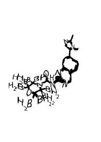 BC1(B)OC(B)(B)C(B)(B)N(C(=O)Nc2ncc3ccc(-c4cnc(C)n4C)cc3n2)C1(B)B